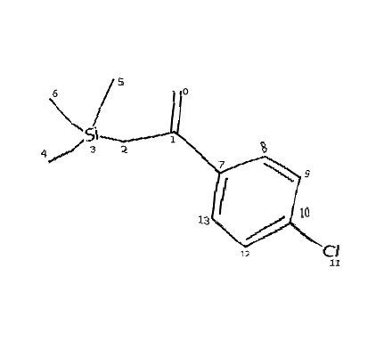 C=C(C[Si](C)(C)C)c1ccc(Cl)cc1